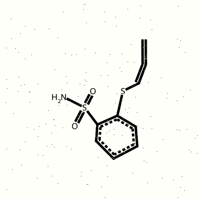 C=C=CSc1ccccc1S(N)(=O)=O